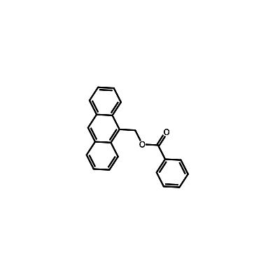 O=C(OCc1c2ccccc2cc2ccccc12)c1ccccc1